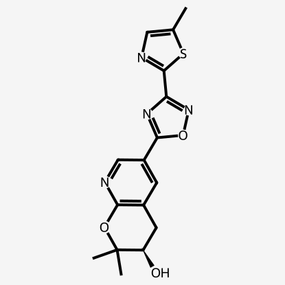 Cc1cnc(-c2noc(-c3cnc4c(c3)C[C@@H](O)C(C)(C)O4)n2)s1